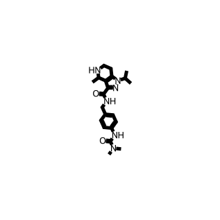 CC1NCCc2c1c(C(=O)NCc1ccc(NC(=O)N(C)C)cc1)nn2C(C)C